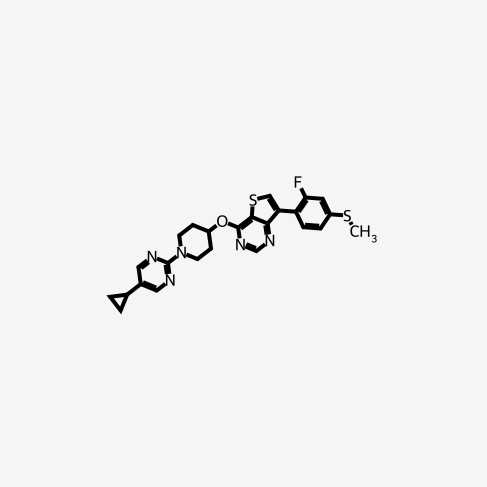 CSc1ccc(-c2csc3c(OC4CCN(c5ncc(C6CC6)cn5)CC4)ncnc23)c(F)c1